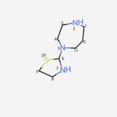 C1CNCCN(C2NCCS2)C1